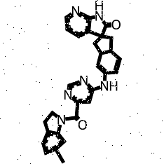 Cc1ccc2c(c1)N(C(=O)c1cc(NC3=CC4CC5(CC4C=C3)C(=O)Nc3ncccc35)ncn1)CC2